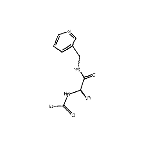 CCC(=O)NC(C(=O)NCc1cccnc1)C(C)C